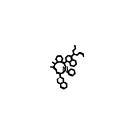 C/C=C\CC(CCC)C1=C2CCCCC2C(/C2=C3\CCCCC3C(C)/C(C)=C/C=C(/[C@@H]3CCC4C=CCCC4C3)CN(C3C=CCCC3)C2)CC1